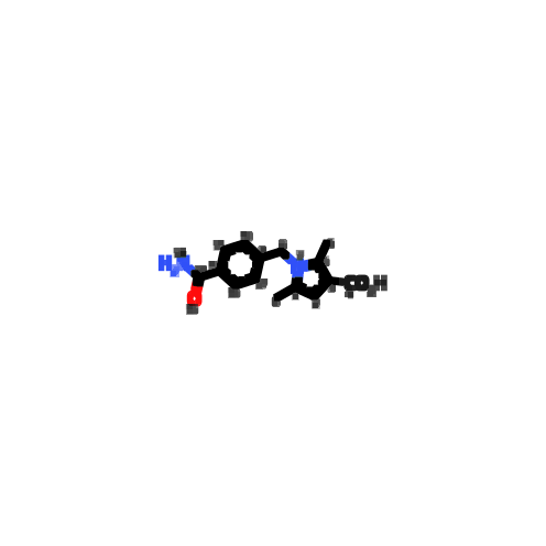 Cc1cc(C(=O)O)c(C)n1Cc1ccc(C(N)=O)cc1